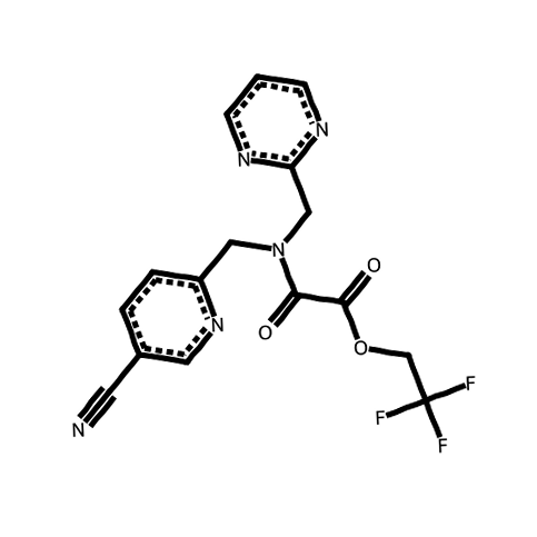 N#Cc1ccc(CN(Cc2ncccn2)C(=O)C(=O)OCC(F)(F)F)nc1